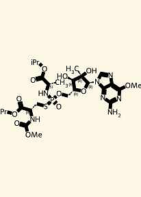 COC(=O)N[C@@H](CSP(=O)(N[C@@H](C)C(=O)OC(C)C)OC[C@H]1O[C@@H](n2cnc3c(OC)nc(N)nc32)[C@](C)(O)[C@@H]1O)C(=O)OC(C)C